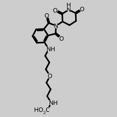 O=C(O)NCCCOCCCNc1cccc2c1C(=O)N(C1CCC(=O)NC1=O)C2=O